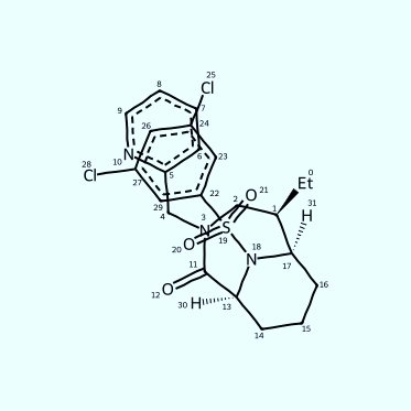 CC[C@@H]1CN(Cc2ccccn2)C(=O)[C@@H]2CCC[C@H]1N2S(=O)(=O)c1cc(Cl)cc(Cl)c1